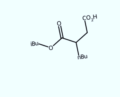 CCCCC(CC(=O)O)C(=O)OC(C)CC